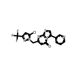 O=c1cc(Cn2nc(C(F)(F)F)cc2Cl)nc2scc(-c3cccnc3)n12